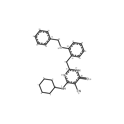 N#Cc1c(NC2CCCCC2)nc(Cc2ccccc2OCc2ccccc2)[nH]c1=O